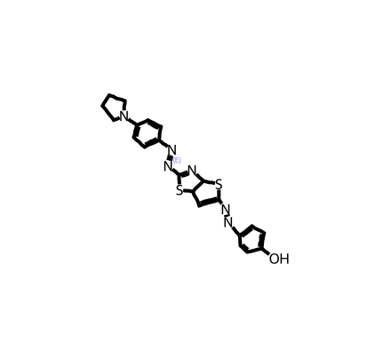 Oc1ccc(N=NC2=CC3SC(/N=N/c4ccc(N5CCCC5)cc4)=NC3S2)cc1